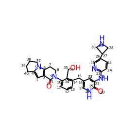 O=C1c2cc3n(c2CCN1c1cccc(Cc2c[nH]c(=O)c(Nc4ccc(C5CNC5)cn4)c2)c1CO)CCCC3